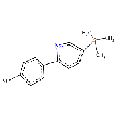 CS(C)(C)c1ccc(-c2ccc(C#N)cc2)nc1